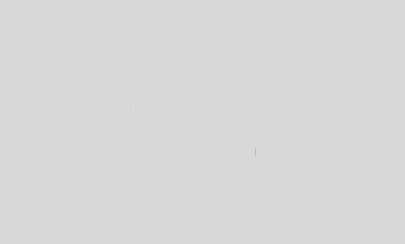 O=CCCS(F)(F)F